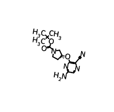 CC(C)(C)OC(=O)N1CC[C@@H](Oc2nc(N)cnc2C#N)C1